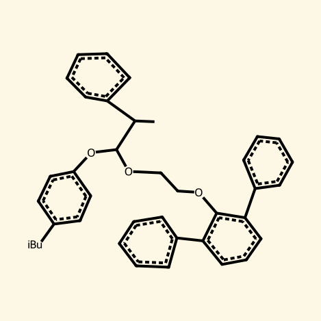 CCC(C)c1ccc(OC(OCCOc2c(-c3ccccc3)cccc2-c2ccccc2)C(C)c2ccccc2)cc1